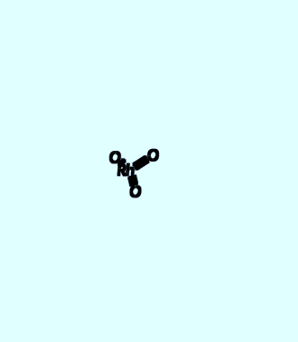 [O]=[Rh](=[O])=[O]